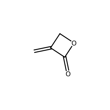 C=C1COC1=O